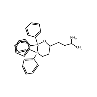 CC(N)CCC1CC[Si](c2ccccc2)(c2ccccc2)[Si](c2ccccc2)(c2ccccc2)O1